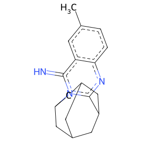 Cc1ccc2nc3n(c(=N)c2c1)C1CC2CC(CC3C2)C1